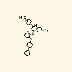 CCc1nc(Nc2ncccc2Cc2ccc(-c3ccccc3)cc2)nc(N2CCN(C)CC2)n1